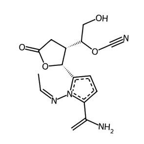 C=C(N)c1ccc([C@@H]2OC(=O)C[C@@H]2C(CO)OC#N)n1/N=C\C